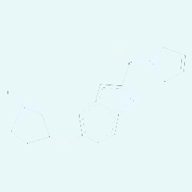 CC(C)N1CCC(Oc2ccc3[nH]c(C(=O)N4CC=CC4)cc3c2)C1